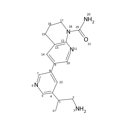 CC(CN)c1cncc(-c2cnc3c(c2)CCCN3C(N)=O)c1